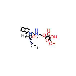 C/C=C/C=C/C(C)(C)N(CC(=O)NCCCO[C@H]1CO[C@H](CO)[C@@H](O)[C@@H]1O)c1ccc2ccccc2c1C